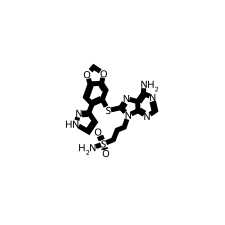 Nc1ncnc2c1nc(Sc1cc3c(cc1-c1cc[nH]n1)OCO3)n2CCCS(N)(=O)=O